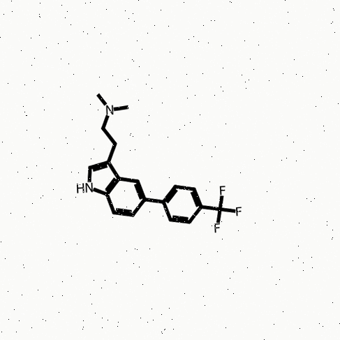 CN(C)CCc1c[nH]c2ccc(-c3ccc(C(F)(F)F)cc3)cc12